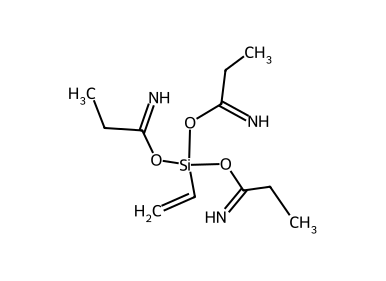 C=C[Si](OC(=N)CC)(OC(=N)CC)OC(=N)CC